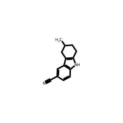 CC1CCc2[nH]c3ccc(C#N)cc3c2C1